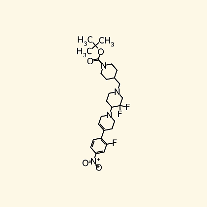 CC(C)(C)OC(=O)N1CCC(CN2CCC(N3CC=C(c4ccc([N+](=O)[O-])cc4F)CC3)C(F)(F)C2)CC1